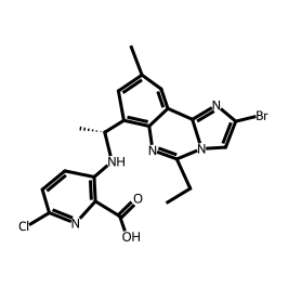 CCc1nc2c([C@@H](C)Nc3ccc(Cl)nc3C(=O)O)cc(C)cc2c2nc(Br)cn12